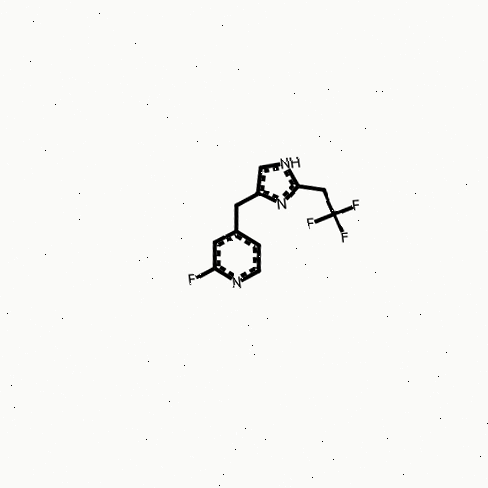 Fc1cc(Cc2c[nH]c(CC(F)(F)F)n2)ccn1